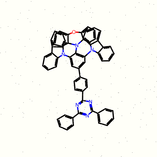 c1ccc(-c2nc(-c3ccccc3)nc(-c3ccc(-c4cc(-n5c6ccccc6c6ccccc65)c(N5c6ccccc6Oc6ccccc65)c(-n5c6ccccc6c6ccccc65)c4)cc3)n2)cc1